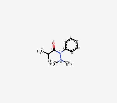 CC(C)C(=O)N(c1ccccc1)N(C)C